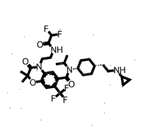 CC(C)N(C(=O)c1cc2c(cc1C(F)(F)F)OC(C)(C)C(=O)N2CCNC(=O)C(F)F)[C@H]1CC[C@@H](CCNC2CC2)CC1